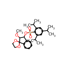 COC1C(OS(=O)(=O)c2c(C(C)C)cc(C(C)C)cc2C(C)C)c2ccccc2C12OCCO2